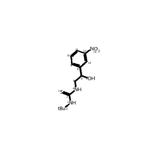 CC(C)(C)NC(=S)NCC(O)c1cccc([N+](=O)[O-])c1